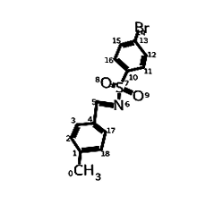 Cc1ccc(C=NS(=O)(=O)c2ccc(Br)cc2)cc1